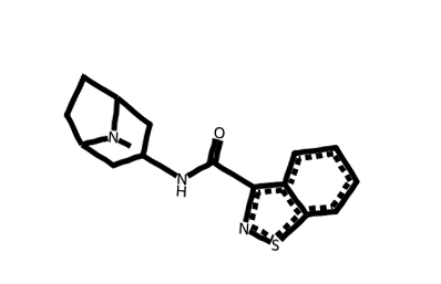 CN1C2CCC1CC(NC(=O)c1nsc3ccccc13)C2